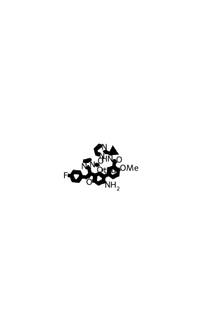 COc1ccc(-c2cc3c(-c4nccn4C(=O)OC(C)(C)C)c(-c4ccc(F)cc4)oc3cc2N)cc1C(=O)NC1(c2ncccn2)CC1